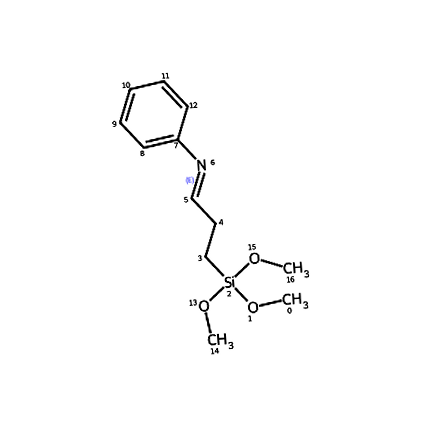 CO[Si](CC/C=N/c1ccccc1)(OC)OC